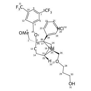 COC[C@@]1(OCc2cc(C(F)(F)F)cc(C(F)(F)F)c2)CC[C@@H]2N[C@@]1(c1ccccc1)C[C@H]2COCCCO.Cl